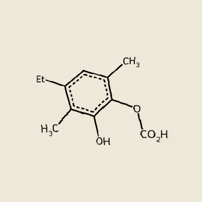 CCc1cc(C)c(OC(=O)O)c(O)c1C